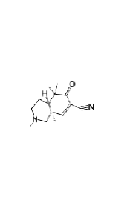 CN1CC[C@@H]2C(C)(C)C(=O)C(C#N)=C[C@@]2(C)C1